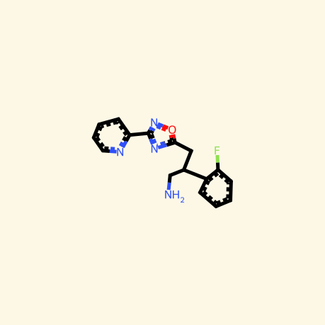 NCC(Cc1nc(-c2ccccn2)no1)c1ccccc1F